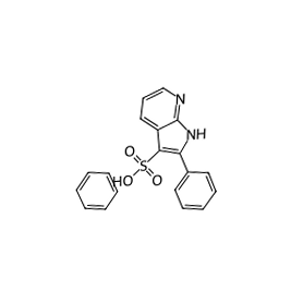 O=S(=O)(O)c1c(-c2ccccc2)[nH]c2ncccc12.c1ccccc1